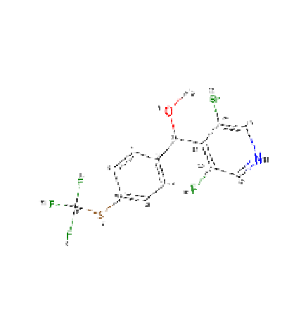 COC(c1ccc(SC(F)(F)F)cc1)c1c(F)cncc1Br